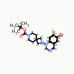 CC(C)(C)OC(=O)N1CCC2(CC1)CN(N1CN=Cc3cc(Br)c(F)cc31)C2